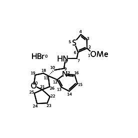 Br.COc1ccsc1CNCC[C@@]1(c2ccccn2)CCOC2(CCCC2)C1